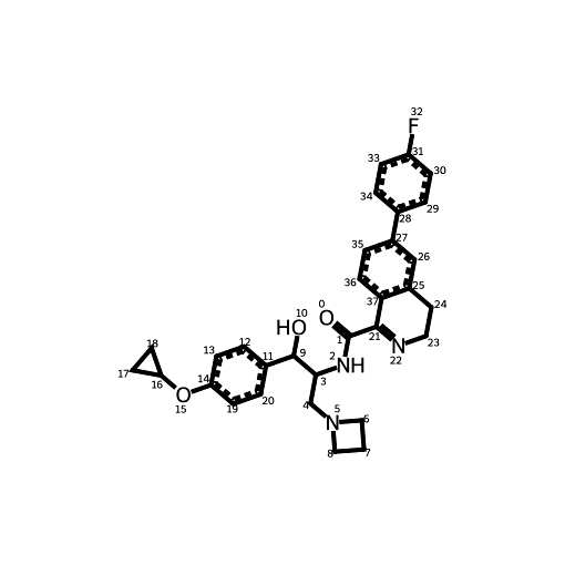 O=C(NC(CN1CCC1)C(O)c1ccc(OC2CC2)cc1)C1=NCCc2cc(-c3ccc(F)cc3)ccc21